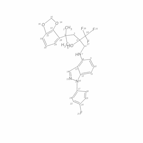 CC(C)(CC(O)(CNc1cccc2c1cnn2-c1ccc(F)cc1)C(F)(F)F)c1cccc2c1OCO2